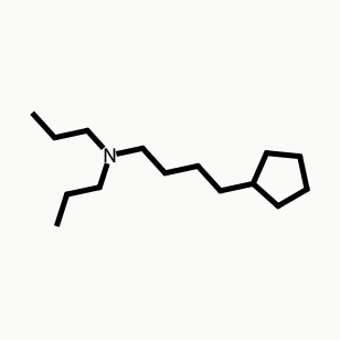 CCCN(CCC)CCCCC1CCCC1